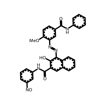 COc1ccc(C(=O)Nc2ccccc2)cc1/N=N/c1c(O)c(C(=O)Nc2cccc(N=O)c2)cc2ccccc12